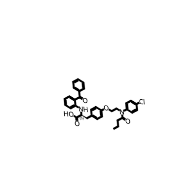 CCCC(=O)N(CCOc1ccc(C[C@H](Nc2ccccc2C(=O)c2ccccc2)C(=O)O)cc1)c1ccc(Cl)cc1